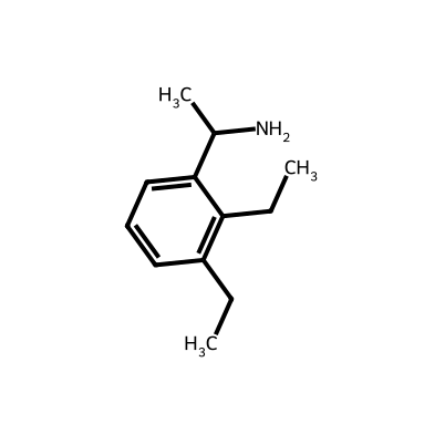 CCc1cccc(C(C)N)c1CC